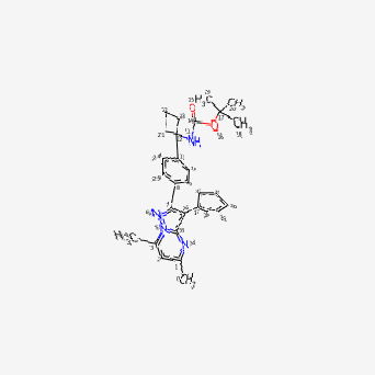 Cc1cc(C)n2nc(-c3ccc(C4(NC(=O)OC(C)(C)C)CCC4)cc3)c(-c3ccccc3)c2n1